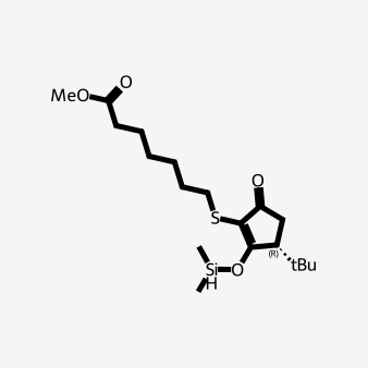 COC(=O)CCCCCCSC1=C(O[SiH](C)C)[C@@H](C(C)(C)C)CC1=O